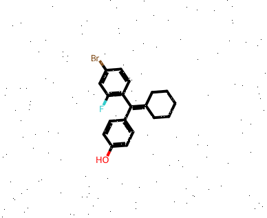 Oc1ccc(C(=C2CCCCC2)c2ccc(Br)cc2F)cc1